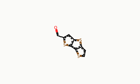 O=Cc1cc2sc3ccsc3c2s1